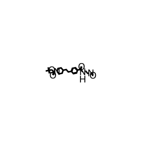 CC(C)(C)OC(=O)N1CCC(CCc2ccc(C(=O)NCCN=O)cc2)CC1